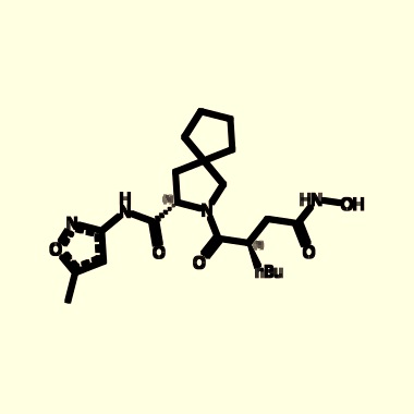 CCCC[C@H](CC(=O)NO)C(=O)N1CC2(CCCC2)C[C@H]1C(=O)Nc1cc(C)on1